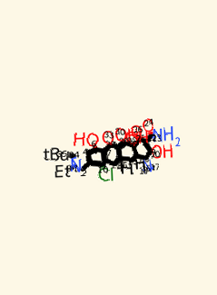 CCN(Cc1cc(O)c2c(c1Cl)C[C@H]1C[C@H]3[C@H](N(C)C)C(O)=C(C(N)=O)C(=O)[C@@]3(O)C(O)=C1C2=O)CC(C)(C)C